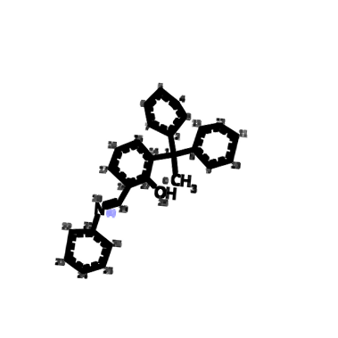 CC(c1ccccc1)(c1ccccc1)c1cccc(/C=N/c2ccccc2)c1O